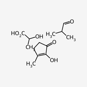 CC(C)C=O.CC(O)C(=O)O.CC1=C(O)C(=O)CC1